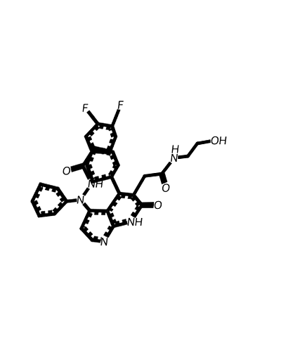 O=C(Cc1c(-c2ccccc2)c2c(N(NC(=O)c3ccc(F)c(F)c3)c3ccccc3)ccnc2[nH]c1=O)NCCO